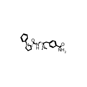 CN(C)[C@H](CNC(=O)[C@@H]1CCCN1c1ccccc1)Cc1ccc(C(N)=O)cc1